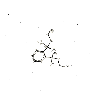 CC(C)(C)COC(C)(C)c1ccccc1C(C)(C)OCC(C)(C)C